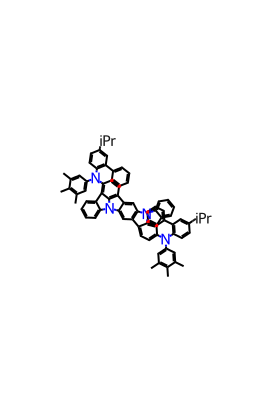 Cc1cc(N(c2ccc(C(C)C)cc2-c2ccccc2)c2ccc3c4cc5c(cc4n4c6ccccc6c2c34)c2ccc(N(c3cc(C)c(C)c(C)c3)c3ccc(C(C)C)cc3-c3ccccc3)c3c4ccccc4n5c23)cc(C)c1C